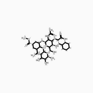 CCC1C[C@H](C(=O)OC)C[C@@H](O[C@@H]2OC(CO)[C@H](O)C(O[C@@H](CC3CCCCC3)C(=O)O)C2NC(C)=O)C1OC1O[C@@H](C)C(O)C(O)[C@@H]1O